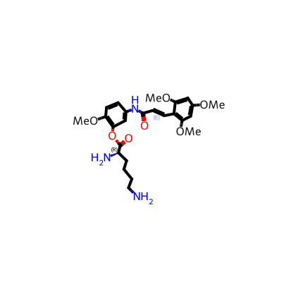 COc1cc(OC)c(/C=C/C(=O)Nc2ccc(OC)c(OC(=O)[C@H](N)CCCCN)c2)c(OC)c1